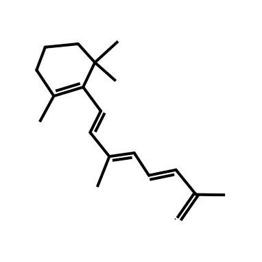 [CH]=C(C)C=CC=C(C)C=CC1=C(C)CCCC1(C)C